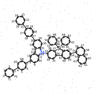 c1ccc(-c2ccc(-c3ccc4c(c3)c3cc(-c5ccc(-c6ccccc6)cc5)ccc3n4-c3ccc4c(c3)[Si](c3ccccc3)(c3ccccc3)c3cc(-c5cccc6ccccc56)ccc3-4)cc2)cc1